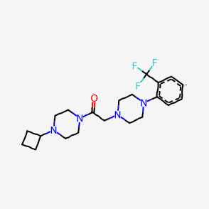 O=C(CN1CCN(c2cc[c]cc2C(F)(F)F)CC1)N1CCN(C2CCC2)CC1